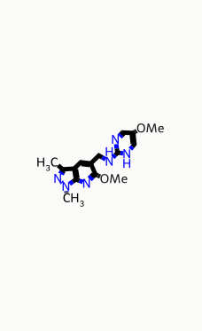 COC1=CNC(NCc2cc3c(C)nn(C)c3nc2OC)N=C1